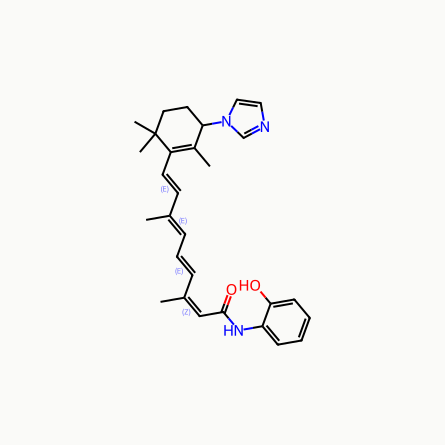 CC1=C(/C=C/C(C)=C/C=C/C(C)=C\C(=O)Nc2ccccc2O)C(C)(C)CCC1n1ccnc1